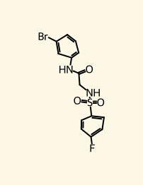 O=C(CNS(=O)(=O)c1ccc(F)cc1)Nc1cccc(Br)c1